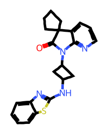 O=C1N(C2CC(Nc3nc4ccccc4s3)C2)c2ncccc2C12CCCC2